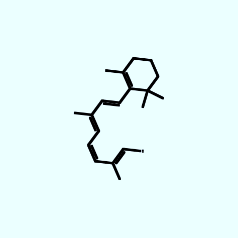 [CH]C=C(C)/C=C\C=C(C)C=CC1=C(C)CCCC1(C)C